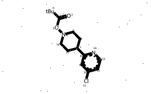 CC(C)(C)C(=O)ON1CCC(c2cc(Cl)ccn2)CC1